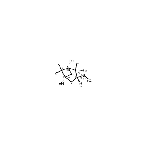 C[C@H]1[C@H](BCl)C[C@@H]2C[C@H]1C2(C)C